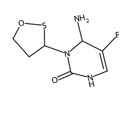 NC1C(F)=CNC(=O)N1C1CCOS1